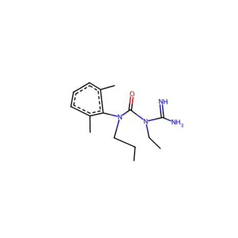 CCCN(C(=O)N(CC)C(=N)N)c1c(C)cccc1C